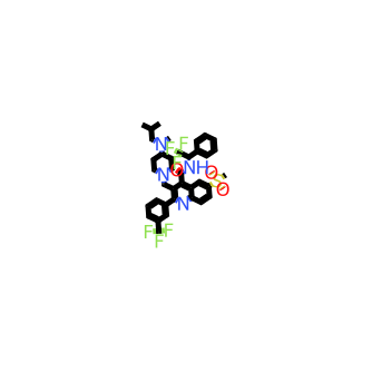 CC(C)CN(C)C1CCN(Cc2c(-c3cccc(C(F)(F)F)c3)nc3ccc(S(C)(=O)=O)cc3c2C(=O)N[C@H](c2ccccc2)C(F)(F)F)CC1